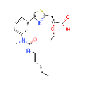 CCCCCNC(=O)N(C)c1cccc(-c2csc(C[C@H](OCC)C(=O)O)n2)c1